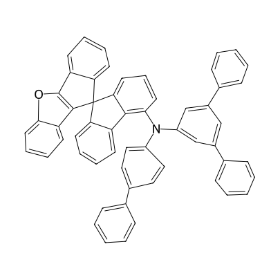 c1ccc(-c2ccc(N(c3cc(-c4ccccc4)cc(-c4ccccc4)c3)c3cccc4c3-c3ccccc3C43c4ccccc4-c4oc5ccccc5c43)cc2)cc1